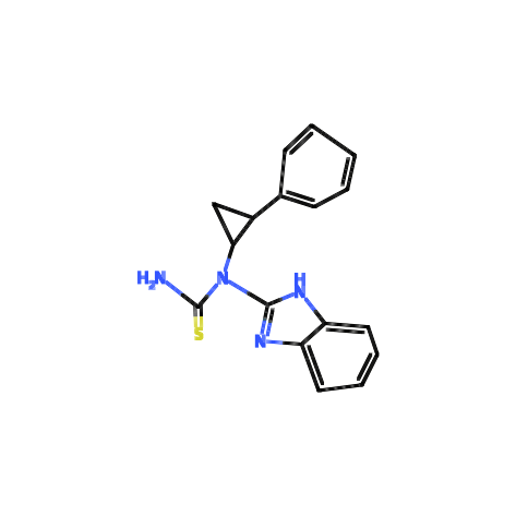 NC(=S)N(c1nc2ccccc2[nH]1)C1CC1c1ccccc1